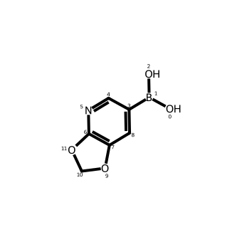 OB(O)c1cnc2c(c1)OCO2